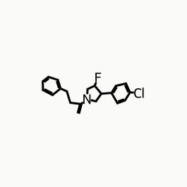 C=C(CCc1ccccc1)N1CC(F)C(c2ccc(Cl)cc2)C1